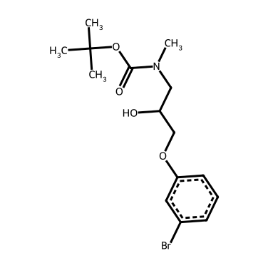 CN(CC(O)COc1cccc(Br)c1)C(=O)OC(C)(C)C